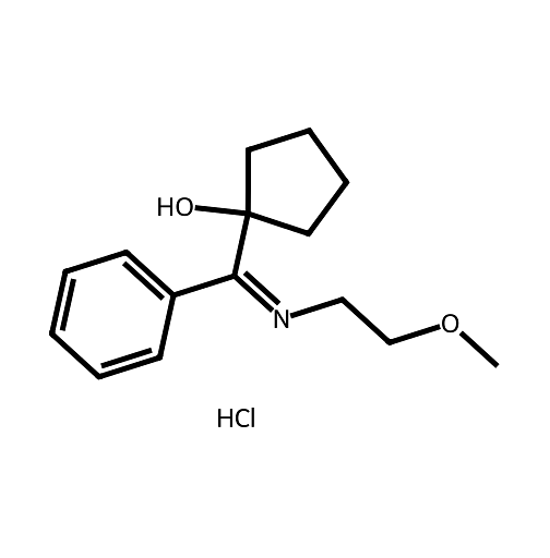 COCC/N=C(/c1ccccc1)C1(O)CCCC1.Cl